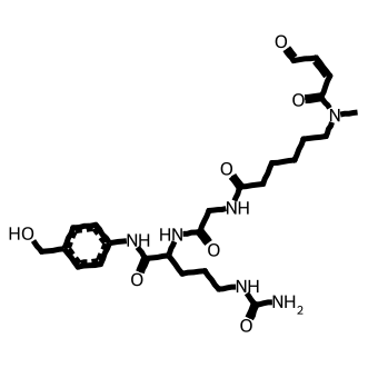 CN(CCCCCC(=O)NCC(=O)NC(CCCNC(N)=O)C(=O)Nc1ccc(CO)cc1)C(=O)/C=C\C=O